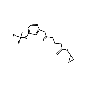 O=C(CCCC(=O)OC1CC1)Cc1cccc(OC(F)(F)F)c1